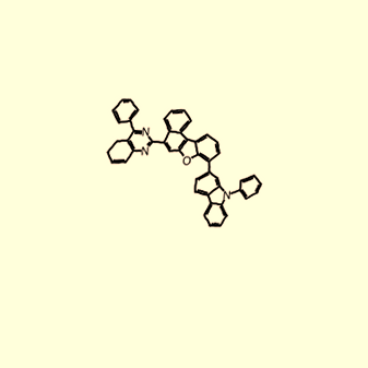 C1=Cc2nc(-c3cc4oc5c(-c6ccc7c8ccccc8n(-c8ccccc8)c7c6)cccc5c4c4ccccc34)nc(-c3ccccc3)c2CC1